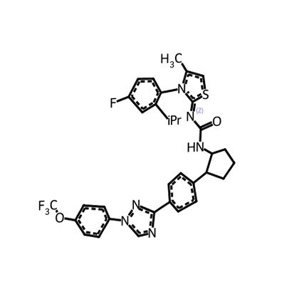 Cc1cs/c(=N\C(=O)NC2CCCC2c2ccc(-c3ncn(-c4ccc(OC(F)(F)F)cc4)n3)cc2)n1-c1ccc(F)cc1C(C)C